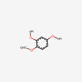 CCCOc1ccc(O[C]=O)c(OCCC)c1